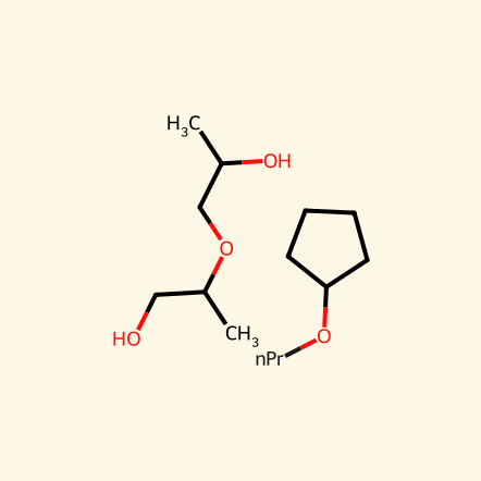 CC(O)COC(C)CO.CCCOC1CCCC1